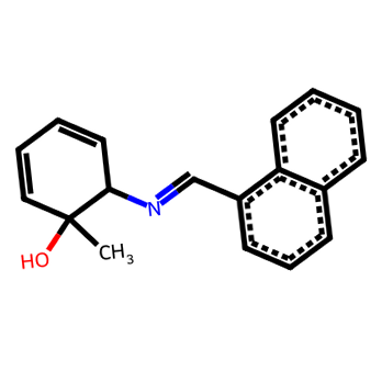 CC1(O)C=CC=CC1N=Cc1cccc2ccccc12